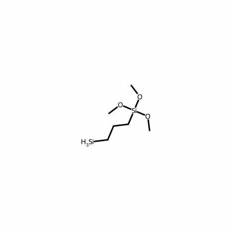 CO[Si](CCC[SiH3])(OC)OC